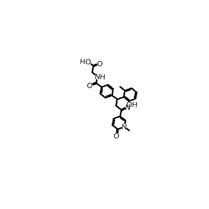 Cc1ccccc1C(C/C(=N\O)c1ccc(=O)n(C)c1)c1ccc(C(=O)NCC(=O)O)cc1